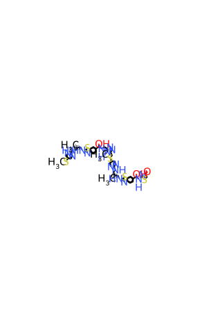 CSc1cnc(NC[C@H](C)CNc2nc3ccc(C(O)NCc4nnc(CSc5cnc(NC[C@H](C)CNc6nc7ccc(C(O)NC8=NC(=O)CS8)cc7s6)nc5)n4C)cc3s2)nc1